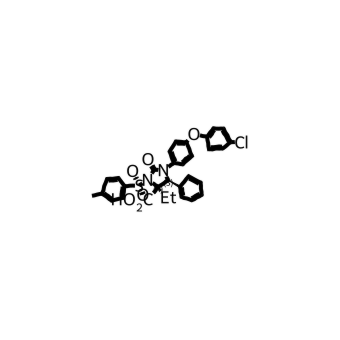 CC[C@]1(C(=O)O)[C@H](c2ccccc2)N(c2ccc(Oc3ccc(Cl)cc3)cc2)C(=O)N1S(=O)(=O)c1ccc(C)cc1